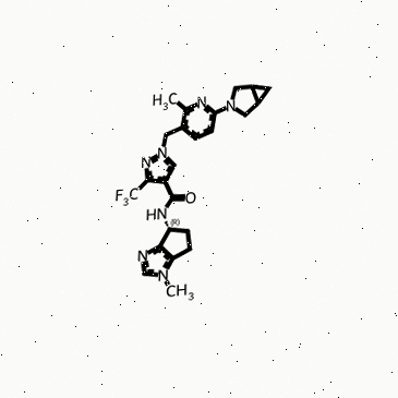 Cc1nc(N2CC3CC3C2)ccc1Cn1cc(C(=O)N[C@@H]2CCc3c2ncn3C)c(C(F)(F)F)n1